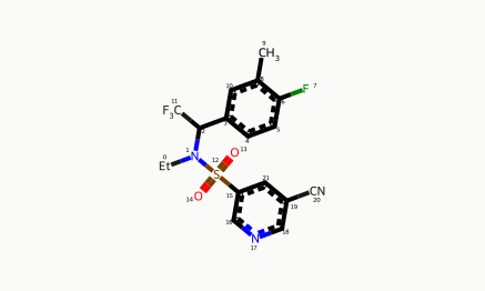 CCN(C(c1ccc(F)c(C)c1)C(F)(F)F)S(=O)(=O)c1cncc(C#N)c1